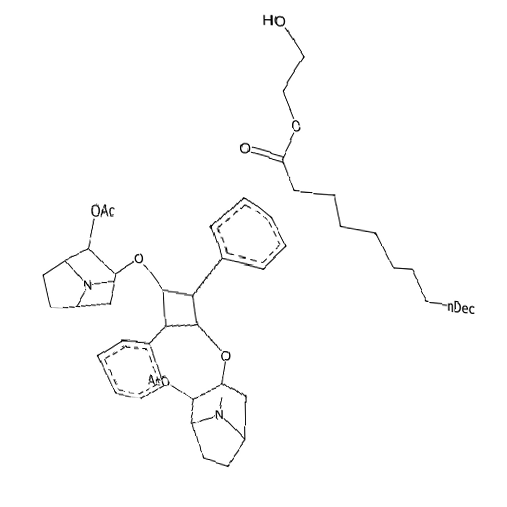 CC(=O)OC1C(OC2C(c3ccccc3)C(OC3CC4CCC(C3OC(C)=O)N4C)C2c2ccccc2)CC2CCC1N2C.CCCCCCCCCCCCCCCCCC(=O)OCCO